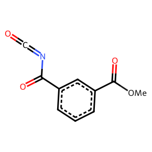 COC(=O)c1cccc(C(=O)N=C=O)c1